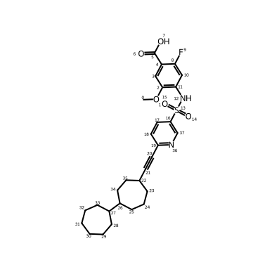 COc1cc(C(=O)O)c(F)cc1NS(=O)(=O)c1ccc(C#CC2CCCC(C3CCCCCC3)CC2)nc1